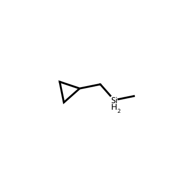 C[SiH2]CC1CC1